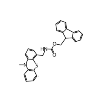 CN1c2ccc[c]c2Sc2c(CNC(=O)OCC3c4ccccc4-c4ccccc43)cccc21